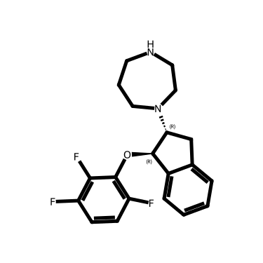 Fc1ccc(F)c(O[C@@H]2c3ccccc3C[C@H]2N2CCCNCC2)c1F